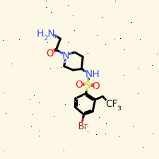 NCC(=O)N1CCC(NS(=O)(=O)c2ccc(Br)cc2CC(F)(F)F)CC1